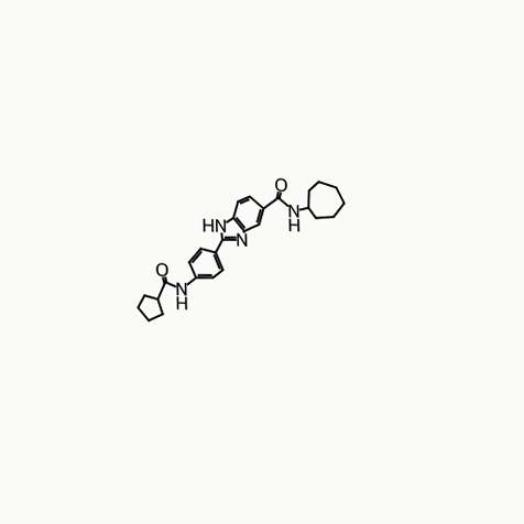 O=C(NC1CCCCCC1)c1ccc2[nH]c(-c3ccc(NC(=O)C4CCCC4)cc3)nc2c1